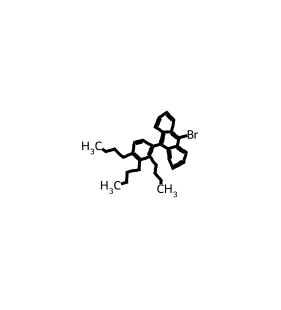 CCCCc1ccc(-c2c3ccccc3c(Br)c3ccccc23)c(CCCC)c1CCCC